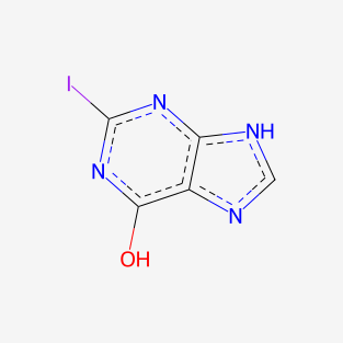 Oc1nc(I)nc2[nH]cnc12